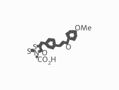 COc1ccc(C(=O)/C=C/c2ccc(/C=C3/SC(=S)N(CC(=O)O)C3=O)cc2)cc1